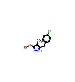 CCOC(=O)c1c(OCC)n[nH]c1Cc1ccc(Cl)cc1